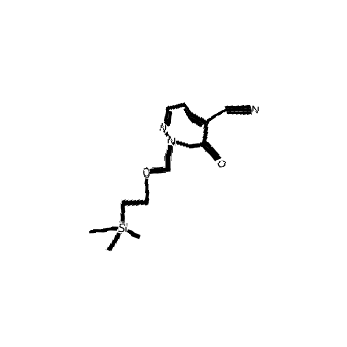 C[Si](C)(C)CCOCn1nccc(C#N)c1=O